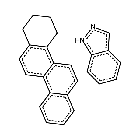 c1ccc2[nH]ncc2c1.c1ccc2c(c1)ccc1c3c(ccc12)CCCC3